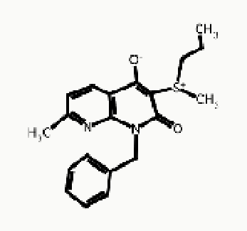 CCC[S+](C)c1c([O-])c2ccc(C)nc2n(Cc2ccccc2)c1=O